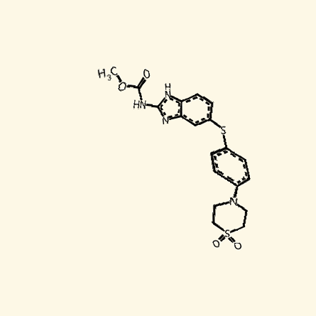 COC(=O)Nc1nc2cc(Sc3ccc(N4CCS(=O)(=O)CC4)cc3)ccc2[nH]1